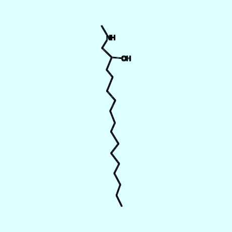 CCCCCCCCCCCCCCC(O)CNC